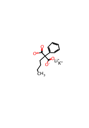 CCCCC(C(=O)[O-])(C(=O)[O-])c1ccccc1.[K+].[Li+]